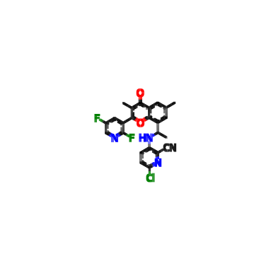 Cc1cc(C(C)Nc2ccc(Cl)nc2C#N)c2oc(-c3cc(F)cnc3F)c(C)c(=O)c2c1